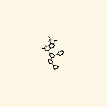 C=Cc1ccc2c(c1/N=C/C)N=C(C)CC2[C@@H]1C=C(c2cccc(-c3ccccc3)c2)C=C(c2ccccc2)C1